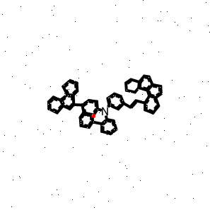 C1=Cc2ccc3ccc4cccc(C=Cc5cccc(N(c6ccc(-c7cc8ccccc8c8ccccc78)cc6)c6ccccc6-c6ccccc6)c5)c4c3c2CC1